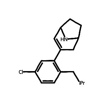 CC(C)Cc1ccc(Cl)cc1C1=CC2CCC(C1)N2